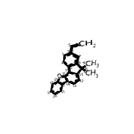 C=Cc1ccc2c(c1)C(C)(C)c1ccc3c(oc4ccccc43)c1-2